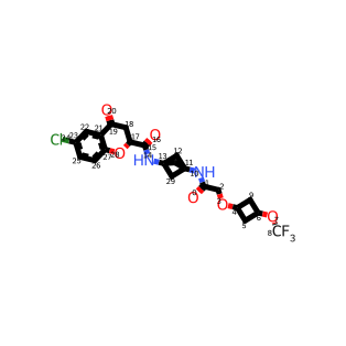 O=C(COC1CC(OC(F)(F)F)C1)NC12CC(NC(=O)C3CC(=O)c4cc(Cl)ccc4O3)(C1)C2